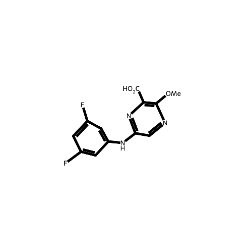 COc1ncc(Nc2cc(F)cc(F)c2)nc1C(=O)O